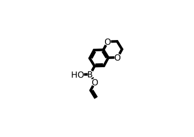 C=COB(O)c1ccc2c(c1)OCCO2